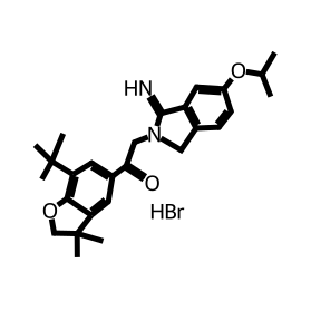 Br.CC(C)Oc1ccc2c(c1)C(=N)N(CC(=O)c1cc(C(C)(C)C)c3c(c1)C(C)(C)CO3)C2